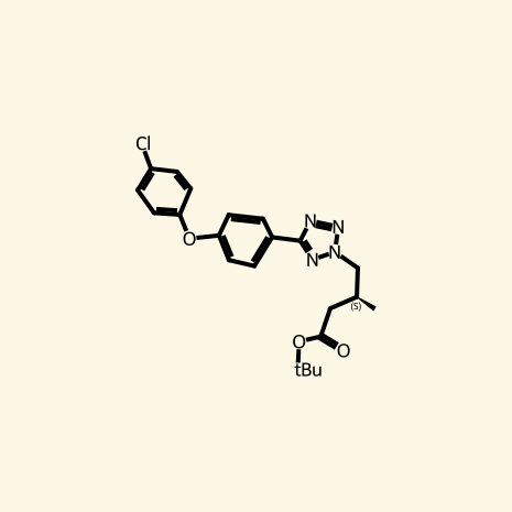 C[C@@H](CC(=O)OC(C)(C)C)Cn1nnc(-c2ccc(Oc3ccc(Cl)cc3)cc2)n1